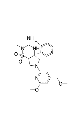 COCc1cc(OC)nc(N2CC3[C@](c4ccccc4F)(C2)NC(=N)N(C)S3(=O)=O)c1